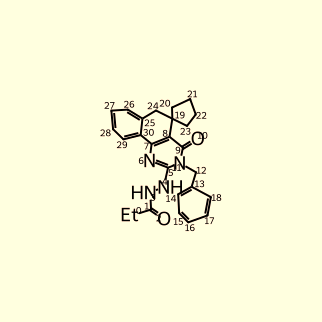 CCC(=O)NNc1nc2c(c(=O)n1Cc1ccccc1)C1(CCCC1)Cc1ccccc1-2